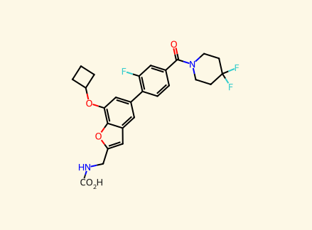 O=C(O)NCc1cc2cc(-c3ccc(C(=O)N4CCC(F)(F)CC4)cc3F)cc(OC3CCC3)c2o1